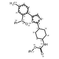 Cc1ccc(-c2cnc(C3CCC(NC(=O)OC(C)C)CC3)s2)c([S+]([O-])C(C)C)c1